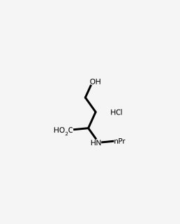 CCCNC(CCO)C(=O)O.Cl